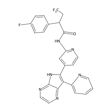 O=C(Nc1cc(-c2[nH]c3nccnc3c2-c2ccccn2)ccn1)C(CC(F)(F)F)c1ccc(F)cc1